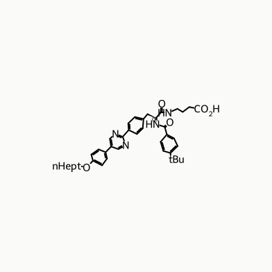 CCCCCCCOc1ccc(-c2cnc(-c3ccc(C[C@H](NC(=O)c4ccc(C(C)(C)C)cc4)C(=O)NCCCC(=O)O)cc3)nc2)cc1